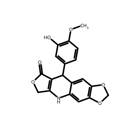 COc1ccc(C2C3=C(COC3=O)Nc3cc4c(cc32)OCO4)cc1O